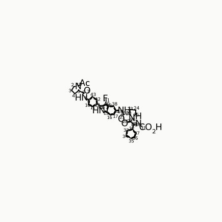 CC(=O)N1CCCC1C(=O)Nc1ccc(-c2[nH]c3ccc(NC(=O)[C@@H]4CCCN4C(=O)[C@@H](NC(=O)O)c4ccccc4)cc3c2F)cc1